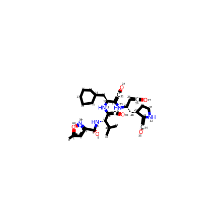 Cc1cc(C(=O)N[C@H](C(=C=O)N[C@@H](CC2CCCCC2)C(=C=O)N[C@H](C=C=O)C[C@@H]2CCNC2=C=O)C(C)C)no1